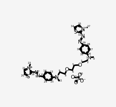 CN(CCOCCOCCN(C)c1ccc(/N=N/c2scc[n+]2C)cc1)c1ccc(/N=N/c2scc[n+]2C)cc1.O=S(=O)([O-])[O-]